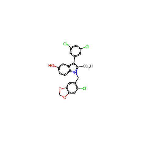 O=C(O)c1c(-c2cc(Cl)cc(Cl)c2)c2cc(O)ccc2n1Cc1cc2c(cc1Cl)OCO2